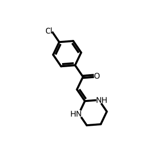 O=C(C=C1NCCCN1)c1ccc(Cl)cc1